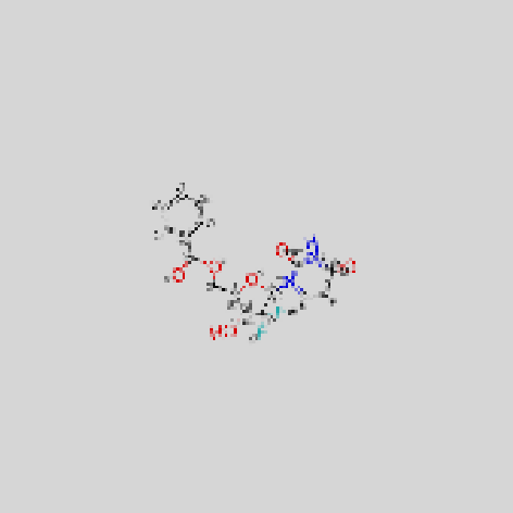 O=C(OC[C@H]1O[C@@H](n2ccc(=O)[nH]c2=O)C(F)(F)[C@@H]1O)c1ccccc1